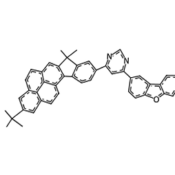 CC(C)(C)c1cc2ccc3cc4c(c5ccc(c1)c2c35)-c1ccc(-c2cc(-c3ccc5oc6ccccc6c5c3)ncn2)cc1C4(C)C